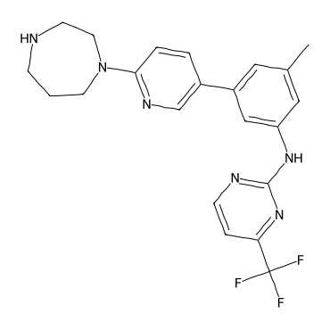 Cc1cc(Nc2nccc(C(F)(F)F)n2)cc(-c2ccc(N3CCCNCC3)nc2)c1